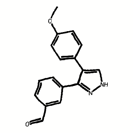 COc1ccc(-c2c[nH]nc2-c2cccc(C=O)c2)cc1